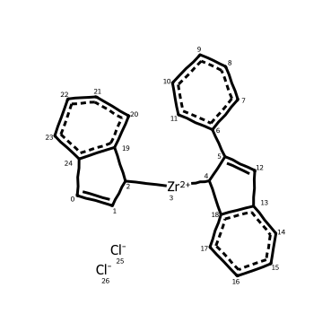 C1=C[CH]([Zr+2][CH]2C(c3ccccc3)=Cc3ccccc32)c2ccccc21.[Cl-].[Cl-]